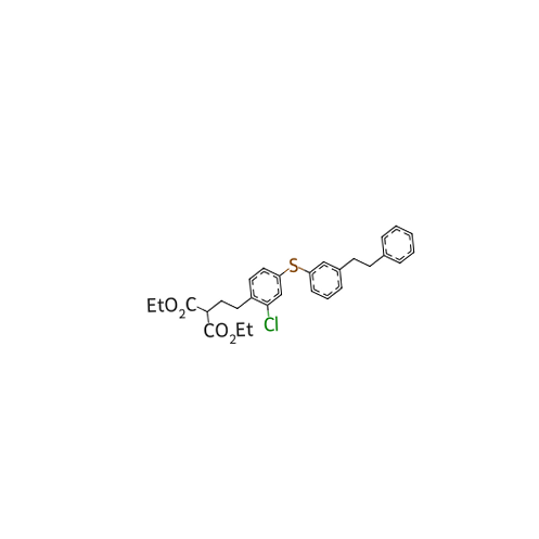 CCOC(=O)C(CCc1ccc(Sc2cccc(CCc3ccccc3)c2)cc1Cl)C(=O)OCC